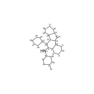 CC1CCC(NC2C3CCCCC3C3SC4CCCCC4C3C2C2CCCCC2)CC1